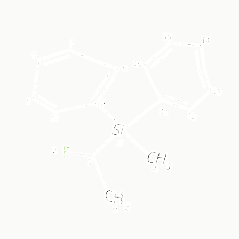 CC(F)[Si](C)(c1ccccc1)c1ccccc1